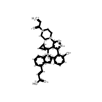 C=CC(=O)N1CCN(c2onc(-c3c(Cl)cccc3Cl)c2C(=O)n2ccc3c(/C=C/C(=O)O)cccc32)[C@H](C2CC2)C1